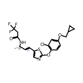 C[C@@H](/C=C/c1cnc(Oc2ccc(OCC3CC3)cc2Cl)s1)NC(=O)CC(F)(F)F